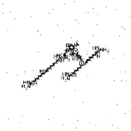 CC(=O)O.CC(=O)O.CC(=O)O.N=C(N)NCCCCCCCCNCCCCCCCCNC(=N)N.N=C(N)NCCCCCCCCNCCCCCCCCNC(=N)N.O=C1C=C(N2CC2)C(=O)C(N2CC2)=C1N1CC1